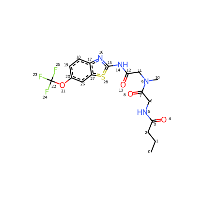 CCCC(=O)NCC(=O)N(C)CC(=O)Nc1nc2ccc(OC(F)(F)F)cc2s1